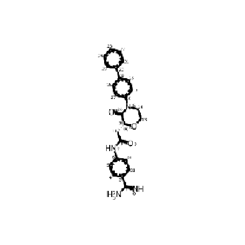 N=C(N)c1ccc(NC(=O)C[C@H]2OCCN(c3ccc(-c4ccccc4)cc3)C2=O)cc1